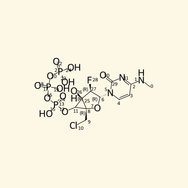 CNc1ccn([C@@H]2O[C@]3(CCl)C(OP(=O)(O)OP(=O)(O)OP(=O)(O)O)[C@]3(O)[C@H]2F)c(=O)n1